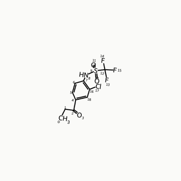 CCC(=O)c1ccc(NS(=O)(=O)C(F)(F)F)c(Cl)c1